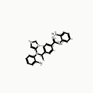 CC(=O)c1ccccc1N(C1=COCO1)C(C)c1ccc(C(=O)Nc2ccccc2N)cc1